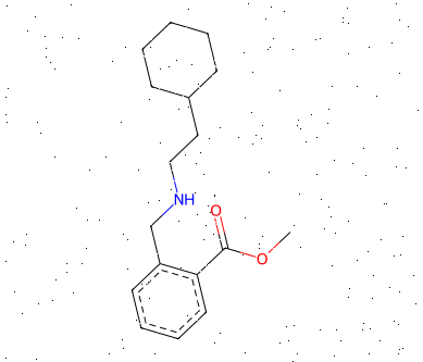 COC(=O)c1ccccc1CNCCC1CCCCC1